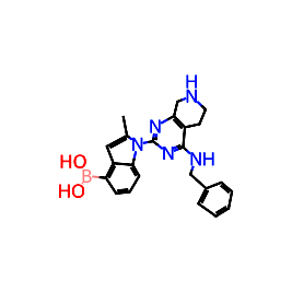 Cc1cc2c(B(O)O)cccc2n1-c1nc2c(c(NCc3ccccc3)n1)CCNC2